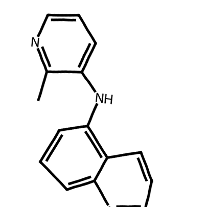 Cc1ncccc1Nc1cccc2ncccc12